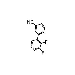 N#Cc1cccc(-c2ccnc(F)c2F)c1